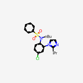 CCCCN(c1ccc(Cl)cc1-n1ccnc1C(C)C)S(=O)(=O)c1ccccc1